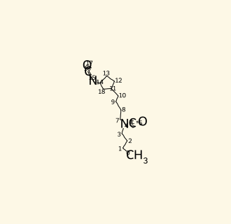 CCCC[N+](=C=O)CCCCC1CCC(N=C=O)C1